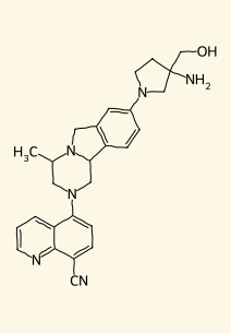 CC1CN(c2ccc(C#N)c3ncccc23)CC2c3ccc(N4CCC(N)(CO)C4)cc3CN12